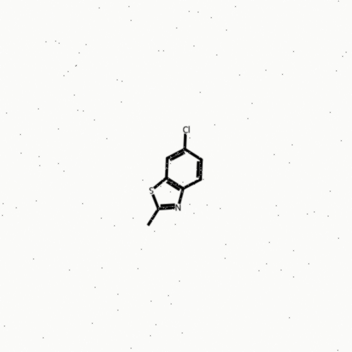 Cc1nc2[c]cc(Cl)cc2s1